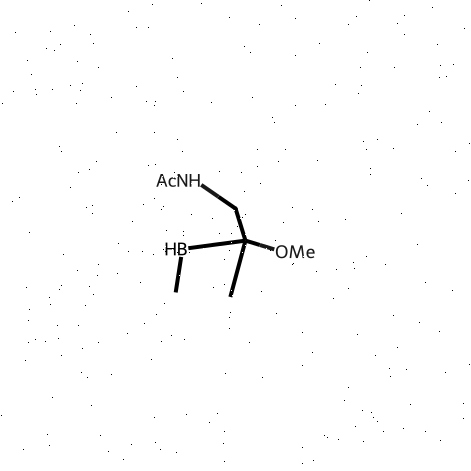 CBC(C)(CNC(C)=O)OC